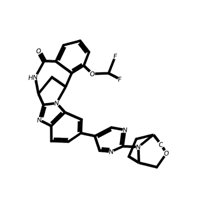 O=C1NC2CC(c3c(OC(F)F)cccc31)n1c2nc2ccc(-c3cnc(N4C5CCC4COC5)nc3)cc21